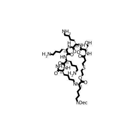 CCCCCCCCCCCCCCCC(=O)OCCSCCC(=O)N[C@@H](CO)C(=O)N[C@@H](CCCCN)C(=O)N[C@@H](CCCCN)C(=O)N[C@@H](CCCCN)C(=O)N[C@@H](CCCCN)C(N)=O